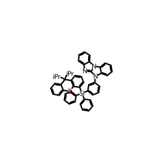 CC(C)C1(C(C)C)c2ccccc2Oc2c1cccc2[Si](c1ccccc1)(c1ccccc1)c1cccc(-n2c3ccccc3n3c4ccccc4nc23)c1